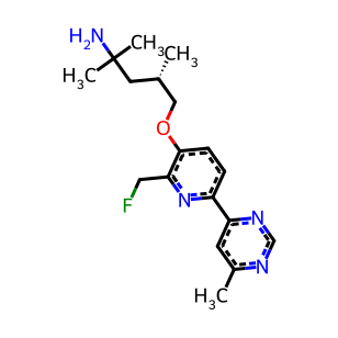 Cc1cc(-c2ccc(OC[C@@H](C)CC(C)(C)N)c(CF)n2)ncn1